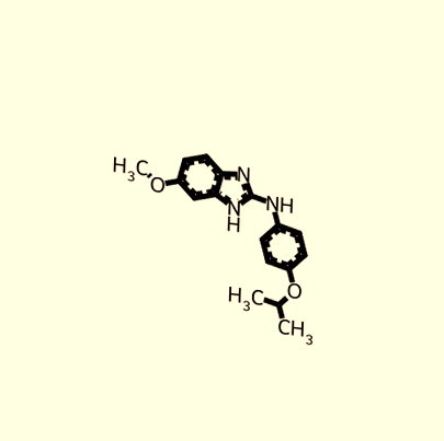 COc1ccc2nc(Nc3ccc(OC(C)C)cc3)[nH]c2c1